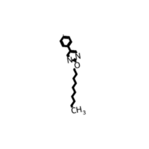 CCCCCCCCCCOc1ncc(-c2cc[c]cc2)cn1